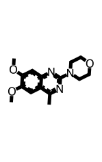 COc1cc2nc(N3CCOCC3)nc(C)c2cc1OC